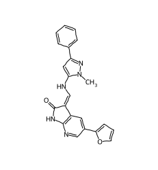 Cn1nc(-c2ccccc2)cc1NC=C1C(=O)Nc2ncc(-c3ccco3)cc21